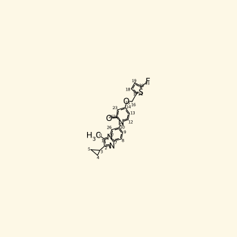 Cc1c(C2CC2)nc2ccc(-n3ccc(OCc4ccc(F)s4)cc3=O)cn12